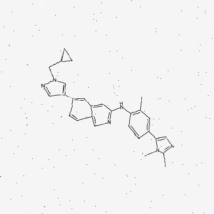 Cc1cc(-c2cnc(C)n2C)ccc1Nc1cc2cc(-c3cnn(CC4CC4)c3)ccc2cn1